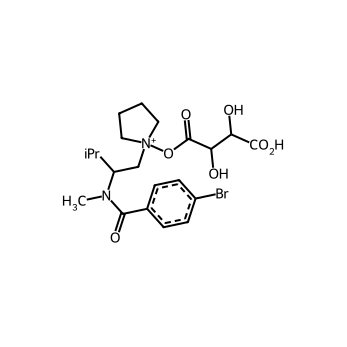 CC(C)C(C[N+]1(OC(=O)C(O)C(O)C(=O)O)CCCC1)N(C)C(=O)c1ccc(Br)cc1